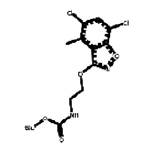 Cc1c(Cl)cc(Cl)c2onc(OCCNC(=O)OC(C)(C)C)c12